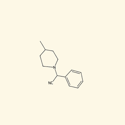 CC1CCN(C(C#N)c2ccccc2)CC1